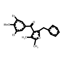 CCc1cc(C(=O)c2c(Cc3ccccc3)oc(C)c2C)cc(CC)c1OC